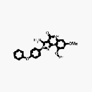 COc1cc(OC(C)C)c2c(c1)[nH]c(=O)c1c(N)n(-c3ccc(Oc4ccccc4)cc3)nc12